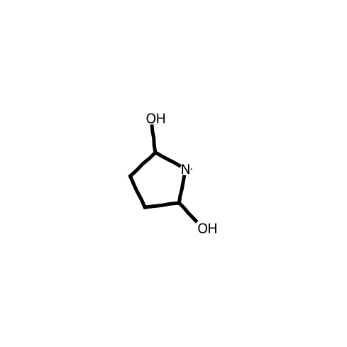 OC1CCC(O)[N]1